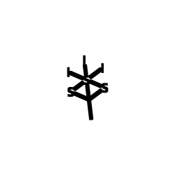 CC12SS1(I)(I)(I)S2